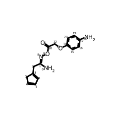 N/C(CC1=CC=CC1)=N\OC(=O)COc1ccc(N)cc1